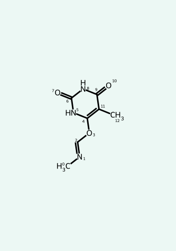 C/N=C/Oc1[nH]c(=O)[nH]c(=O)c1C